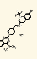 CN(C)c1nc(N2CCC(CNC(=O)Cc3ccc(Br)cc3OC(F)(F)F)CC2)nc2ccccc12.Cl